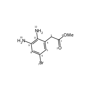 COC(=O)Cc1cc(Br)cc(N)c1N